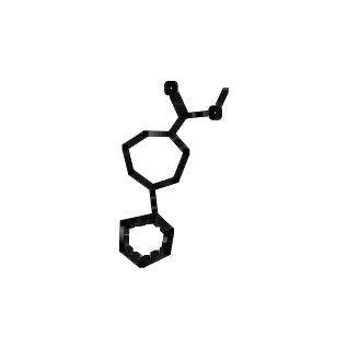 COC(=O)C1CCCC(c2ccccc2)CC1